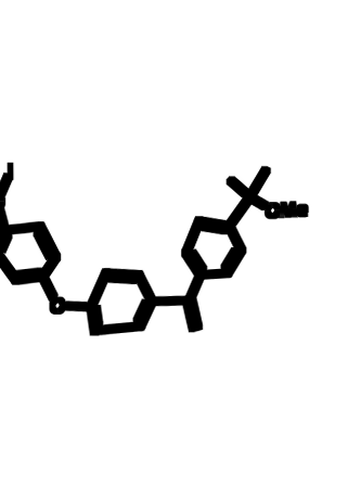 C=C(c1ccc(Oc2ccc(OI)cc2)cc1)c1ccc(C(C)(C)OC)cc1